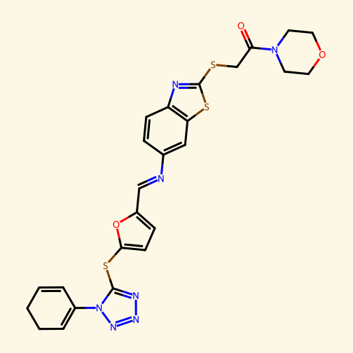 O=C(CSc1nc2ccc(/N=C/c3ccc(Sc4nnnn4C4=CCCC=C4)o3)cc2s1)N1CCOCC1